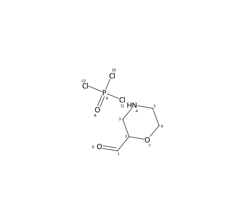 O=CC1CNCCO1.O=P(Cl)(Cl)Cl